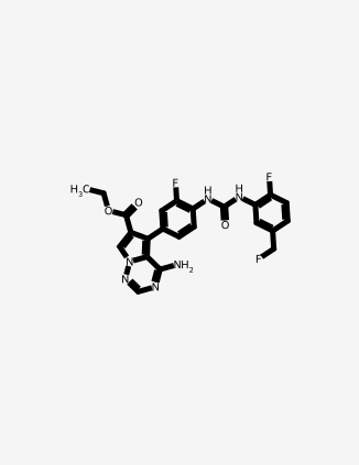 CCOC(=O)c1cn2ncnc(N)c2c1-c1ccc(NC(=O)Nc2cc(CF)ccc2F)c(F)c1